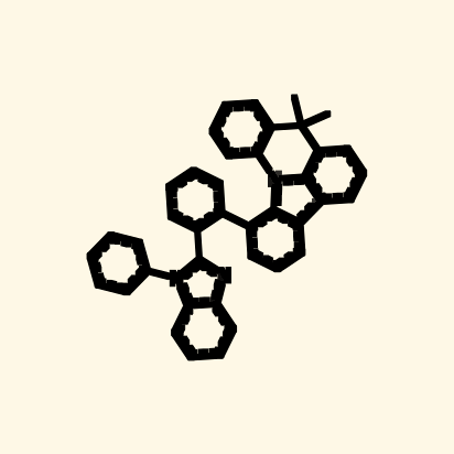 CC1(C)c2ccccc2-n2c3c(-c4ccccc4-c4nc5ccccc5n4-c4ccccc4)cccc3c3cccc1c32